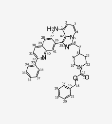 Nc1cccn2c(CC3CCN(C(=O)OCc4ccccc4)CC3)nc(-c3ccc4ccc(-c5ccccc5)nc4c3)c12